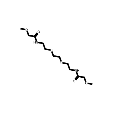 COCC(=O)NCCOCCOCCNC(=O)COC